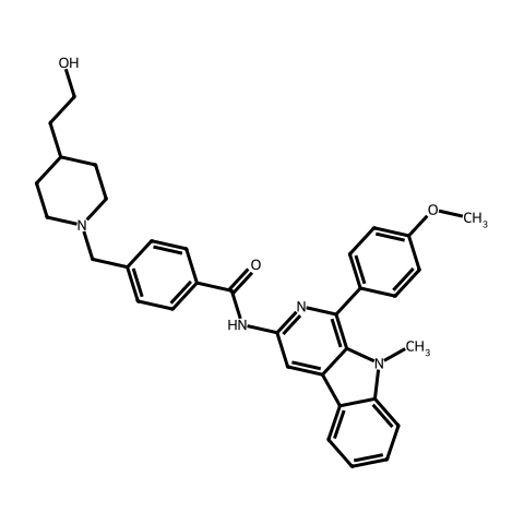 COc1ccc(-c2nc(NC(=O)c3ccc(CN4CCC(CCO)CC4)cc3)cc3c4ccccc4n(C)c23)cc1